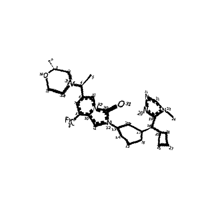 C[C@@H]1CN([C@@H](C)c2cc(C(F)(F)F)c3cn(C4CCCC([C@@H](c5nncn5C)C5CCC5)C4)c(=O)n3c2)CCO1